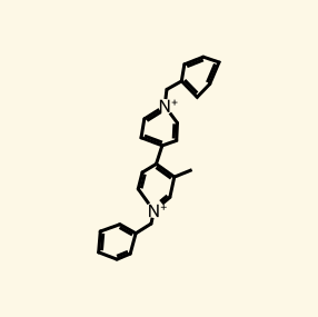 Cc1c[n+](Cc2ccccc2)ccc1-c1cc[n+](Cc2ccccc2)cc1